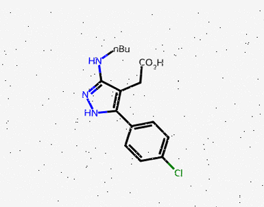 CCCCNc1n[nH]c(-c2ccc(Cl)cc2)c1CC(=O)O